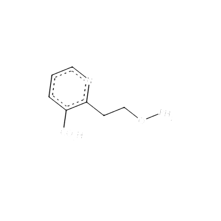 O=C(O)c1cccnc1CCOP